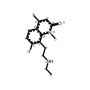 CCNCCc1c(F)ccc2c(C)cc(=O)n(C)c12